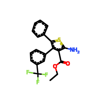 CCOC(=O)c1c(N)sc(-c2ccccc2)c1-c1cccc(C(F)(F)F)c1